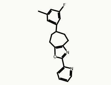 Cc1cc(F)cc(C2CCc3nc(-c4ccccn4)oc3CC2)c1